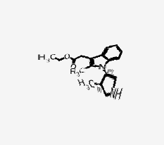 CCOC(=O)Cc1c(C)n([C@H]2CNC[C@H]2C)c2ccccc12